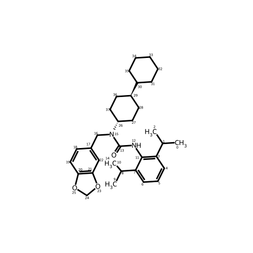 CC(C)c1cccc(C(C)C)c1NC(=O)N(Cc1ccc2c(c1)OCO2)[C@H]1CC[C@H](C2CCCCC2)CC1